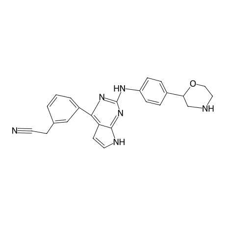 N#CCc1cccc(-c2nc(Nc3ccc(C4CNCCO4)cc3)nc3[nH]ccc23)c1